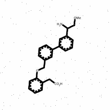 COCC(N)c1cccc(-c2cccc(COc3ccccc3CC(=O)O)c2)c1